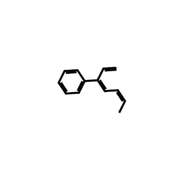 C=C/C(=C\C=C/C)c1ccccc1